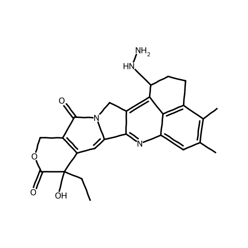 CCC1(O)C(=O)OCc2c1cc1n(c2=O)Cc2c-1nc1cc(C)c(C)c3c1c2C(NN)CC3